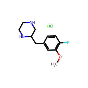 COc1cc(CC2CNCCN2)ccc1F.Cl